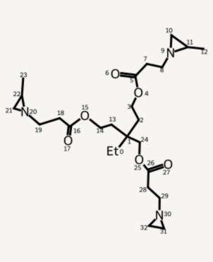 CCC(CCOC(=O)CCN1CC1C)(CCOC(=O)CCN1CC1C)COC(=O)CCN1CC1